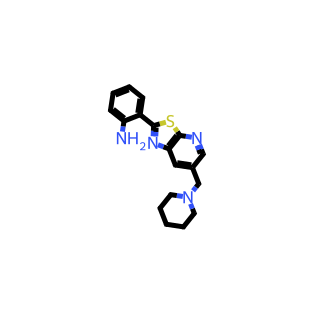 Nc1ccccc1-c1nc2cc(CN3CCCCC3)cnc2s1